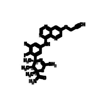 C#CCOc1cnc2c(Nc3cc(F)c(F)c([C@@]4(C)N=C(N)S[C@](C)(C(N)=O)[C@H]4C)c3)ncnc2c1